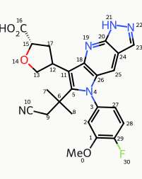 COc1cc(-n2c(C(C)(C)CC#N)c(C3CO[C@H](C(=O)O)C3)c3nc4[nH]ncc4cc32)ccc1F